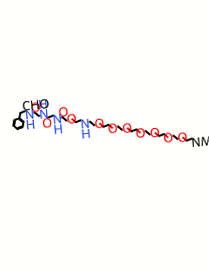 CNCCOCCOCCOCCOCCOCCOCCOCCNCCOCC(=O)NCC(=O)NCC(=O)NC(C=O)Cc1ccccc1